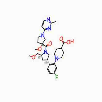 COC[C@@H]1C[C@@H](c2ccc(F)cc2N2CCC(C(=O)O)CC2)CN1C(=O)[C@@]1(OC)CCN(c2ccnc(C)n2)C1